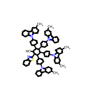 Cc1ccc2c(c1)c1ccccc1n2-c1ccc(-c2c(C#N)c(-c3nc4ccccc4s3)c(-c3ccc(-n4c5ccccc5c5cc(C)ccc54)cc3)c(-c3ccc(-n4c5ccc(C)cc5c5cc(C)ccc54)cc3)c2-c2ccc(-n3c4ccccc4c4cc(C)ccc43)cc2)cc1